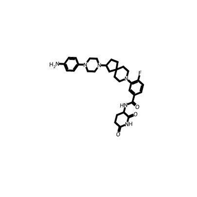 Nc1ccc(N2CCN(C3CCC4(CCN(c5cc(C(=O)NC6CCC(=O)NC6=O)ccc5F)CC4)C3)CC2)cc1